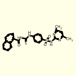 Cc1cc(C)nc(NS(=O)(=O)c2ccc(NC(=S)NC(=O)c3cccc4ccccc34)cc2)n1